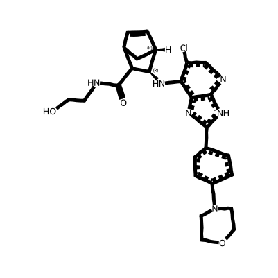 O=C(NCCO)C1C2C=C[C@@H](C2)[C@H]1Nc1c(Cl)cnc2[nH]c(-c3ccc(N4CCOCC4)cc3)nc12